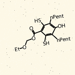 CCCCCc1c(O)c(CCCCC)c(S)c(C(=O)OCOCC)c1S